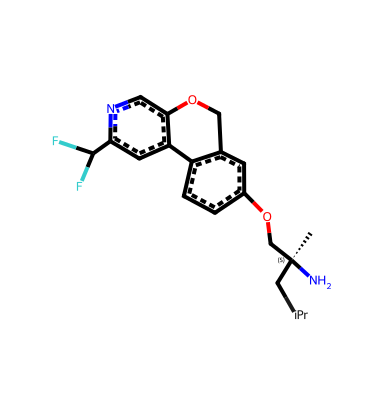 CC(C)C[C@](C)(N)COc1ccc2c(c1)COc1cnc(C(F)F)cc1-2